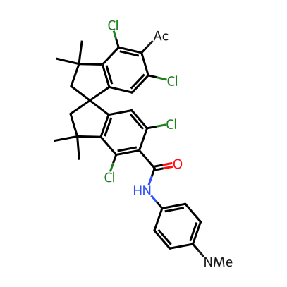 CNc1ccc(NC(=O)c2c(Cl)cc3c(c2Cl)C(C)(C)CC32CC(C)(C)c3c2cc(Cl)c(C(C)=O)c3Cl)cc1